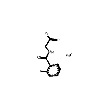 O=C([O-])CNC(=O)c1ccccc1I.[Ag+]